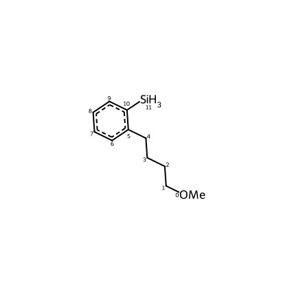 COCCCCc1ccccc1[SiH3]